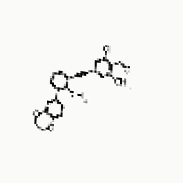 Cc1cc(C#Cc2cccc(-c3ccc4c(c3)OCCO4)c2C)cc(O)c1C=O